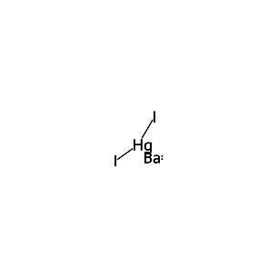 [Ba].[I][Hg][I]